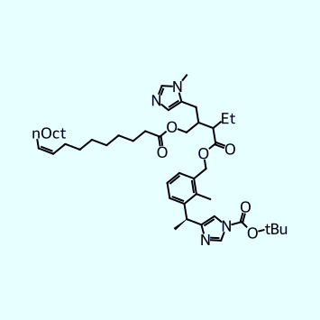 CCCCCCCC/C=C\CCCCCCCC(=O)OCC(Cc1cncn1C)C(CC)C(=O)OCc1cccc([C@H](C)c2cn(C(=O)OC(C)(C)C)cn2)c1C